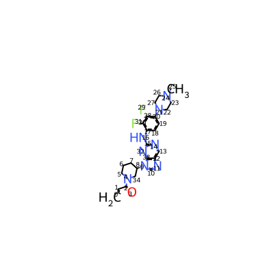 C=CC(=O)N1CCCC(n2cnc3cnc(Nc4ccc(N5CCN(C)CC5)c(F)c4F)nc32)C1